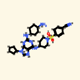 N#Cc1ccc(S(=O)(=O)N2CCC(Nc3nc(N[C@H]4CC[C@H](N)CC4)nc4c3ncn4C3CCCC3)CC2)cc1